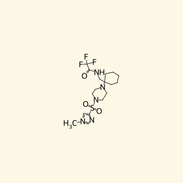 Cn1cnc(S(=O)(=O)N2CCN(C3(CNC(=O)C(F)(F)F)CCCCC3)CC2)c1